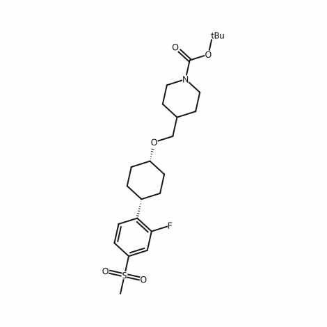 CC(C)(C)OC(=O)N1CCC(CO[C@H]2CC[C@@H](c3ccc(S(C)(=O)=O)cc3F)CC2)CC1